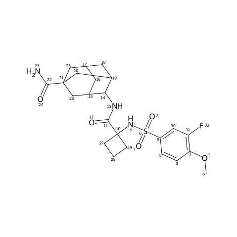 COc1ccc(S(=O)(=O)NC2(C(=O)NC3C4CC5CC3CC(C(N)=O)(C5)C4)CCC2)cc1F